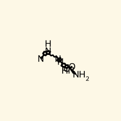 N#Cc1ccc2[nH]cc(CCCCN3CCN(c4ccc5oc(C(=O)NCCN)cc5c4)CC3)c2c1